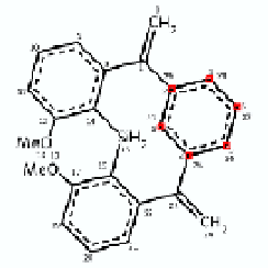 C=C(c1ccccc1)c1cccc(OC)c1[SiH2]c1c(OC)cccc1C(=C)c1ccccc1